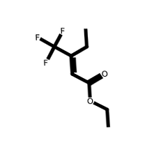 CCOC(=O)/C=C(\CC)C(F)(F)F